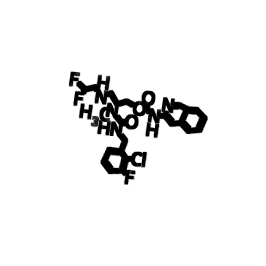 CN(C(=O)NCc1cccc(F)c1Cl)C(CNCC(F)F)COC(=O)Nc1cc2ccccc2cn1